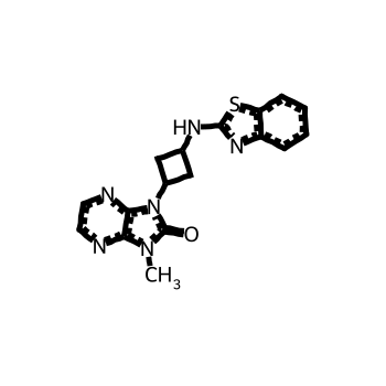 Cn1c(=O)n(C2CC(Nc3nc4ccccc4s3)C2)c2nccnc21